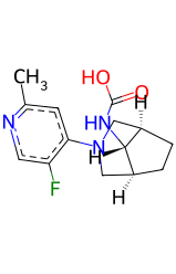 Cc1cc(N2C[C@H]3CC[C@@H](C2)[C@@H]3NC(=O)O)c(F)cn1